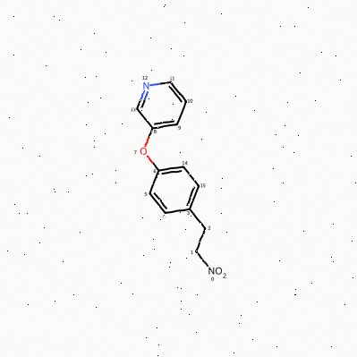 O=[N+]([O-])CCc1ccc(Oc2cccnc2)cc1